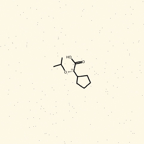 CC(C)O[C@H](C(=O)O)C1CCCC1